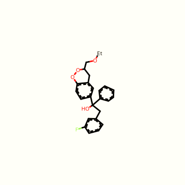 CCOCC1Cc2cc(C(O)(Cc3cccc(F)c3)c3ccccc3)ccc2OO1